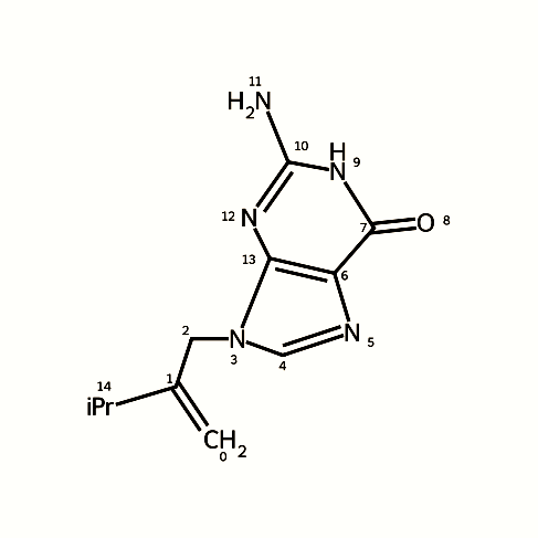 C=C(Cn1cnc2c(=O)[nH]c(N)nc21)C(C)C